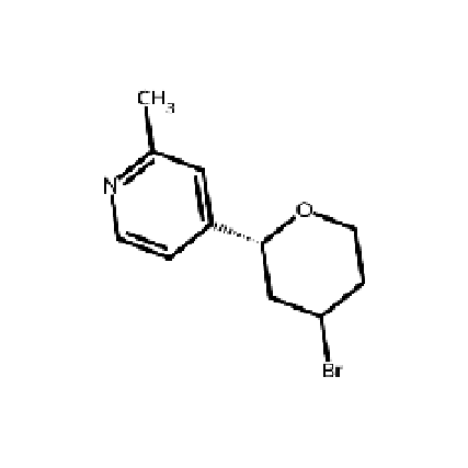 Cc1cc([C@H]2CC(Br)CCO2)ccn1